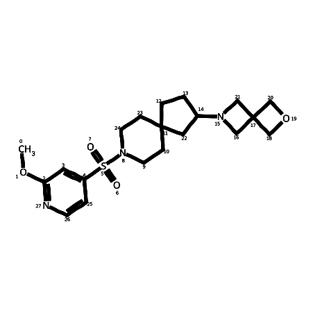 COc1cc(S(=O)(=O)N2CCC3(CCC(N4CC5(COC5)C4)C3)CC2)ccn1